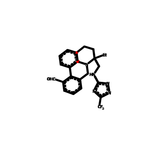 CCC1(CNc2nnc(C(F)(F)F)s2)CCCCN1Cc1cccc(C=O)c1-c1ccccn1